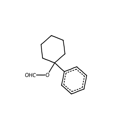 O=COC1(c2ccccc2)CCCCC1